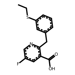 CCSc1cccc(Cc2ncc(F)cc2C(=O)O)c1